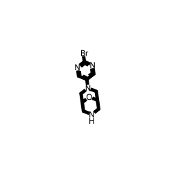 Brc1ncc(N2CC3CNCC(C2)O3)cn1